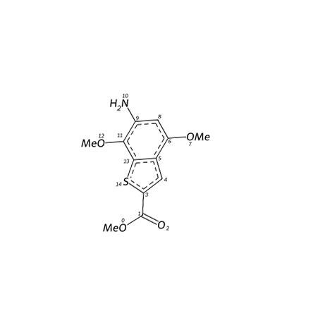 COC(=O)c1cc2c(OC)cc(N)c(OC)c2s1